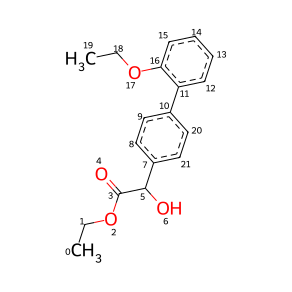 CCOC(=O)C(O)c1ccc(-c2ccccc2OCC)cc1